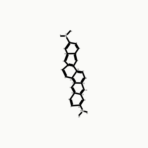 CN(C)c1ccc2cc3c(ccc4c5cc6ccc(N(C)C)cc6cc5ccc34)cc2c1